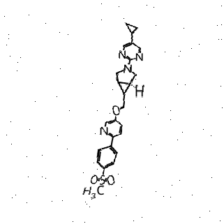 CS(=O)(=O)c1ccc(-c2ccc(OCC3C4CN(c5ncc(C6CC6)cn5)C[C@@H]34)cn2)cc1